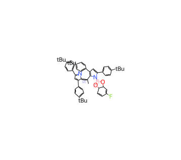 C/C(=C1/N=C(c2ccc(C(C)(C)C)cc2)C=C1c1ccc(C(C)(C)C)cc1)c1c(-c2ccc(C(C)(C)C)cc2)cc(-c2ccc(C(C)(C)C)cc2)n1B1OC2C=CC(F)=CC2O1